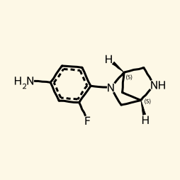 Nc1ccc(N2C[C@@H]3C[C@H]2CN3)c(F)c1